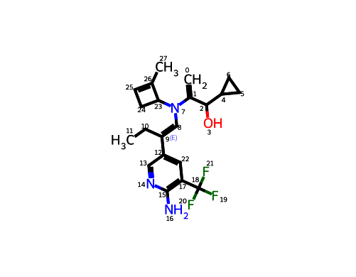 C=C(C(O)C1CC1)N(/C=C(\CC)c1cnc(N)c(C(F)(F)F)c1)C1CC=C1C